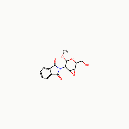 COC1OC(CO)C2OC2C1N1C(=O)c2ccccc2C1=O